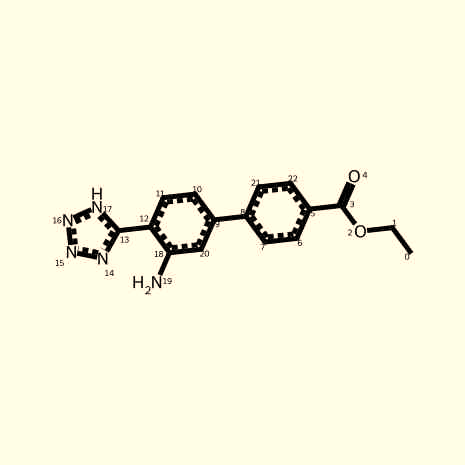 CCOC(=O)c1ccc(-c2ccc(-c3nnn[nH]3)c(N)c2)cc1